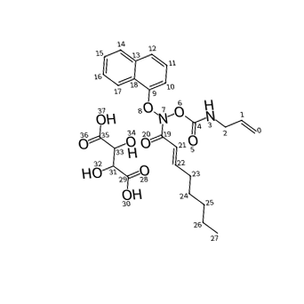 C=CCNC(=O)ON(Oc1cccc2ccccc12)C(=O)C=CCCCCC.O=C(O)C(O)C(O)C(=O)O